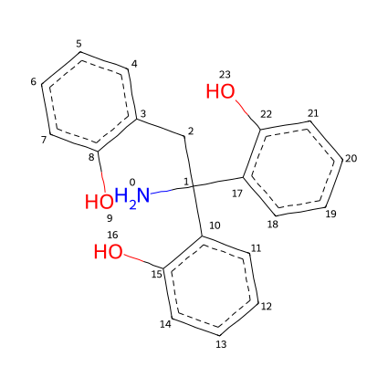 NC(Cc1ccccc1O)(c1ccccc1O)c1ccccc1O